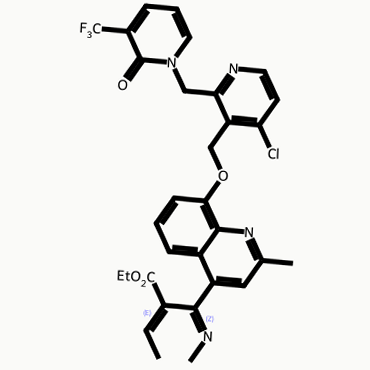 C/C=C(C(=O)OCC)\C(=N/C)c1cc(C)nc2c(OCc3c(Cl)ccnc3Cn3cccc(C(F)(F)F)c3=O)cccc12